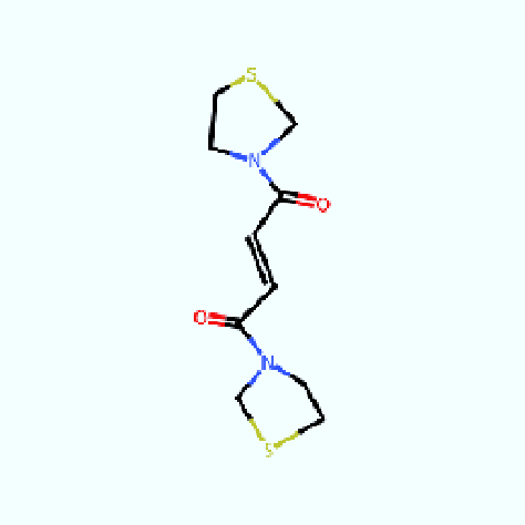 O=C(/C=C/C(=O)N1CCSC1)N1CCSC1